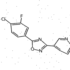 Fc1cc(-c2nc(-c3cccnc3)no2)ccc1Cl